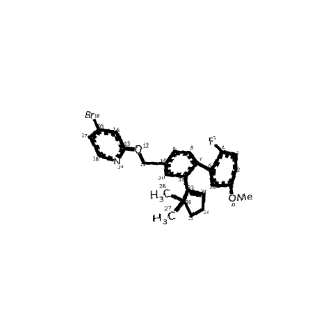 COc1ccc(F)c(-c2ccc(COc3cc(Br)ccn3)cc2C2=CCCC2(C)C)c1